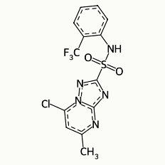 Cc1cc(Cl)n2nc(S(=O)(=O)Nc3ccccc3C(F)(F)F)nc2n1